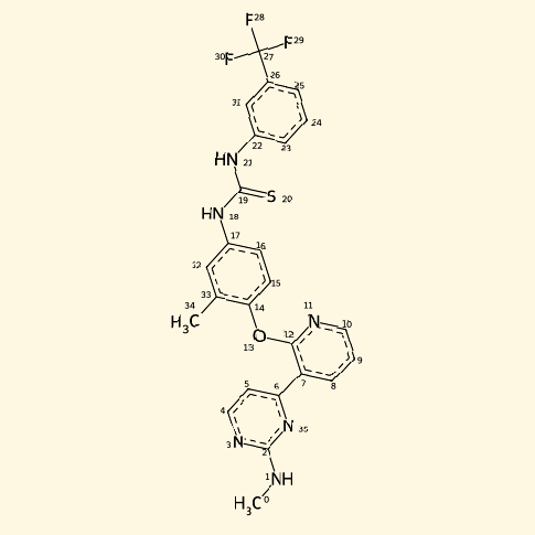 CNc1nccc(-c2cccnc2Oc2ccc(NC(=S)Nc3cccc(C(F)(F)F)c3)cc2C)n1